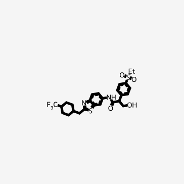 CCS(=O)(=O)c1ccc(C(CO)C(=O)Nc2ccc3nc(CC4CCC(C(F)(F)F)CC4)sc3c2)cc1